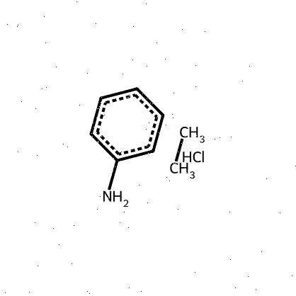 CC.Cl.Nc1ccccc1